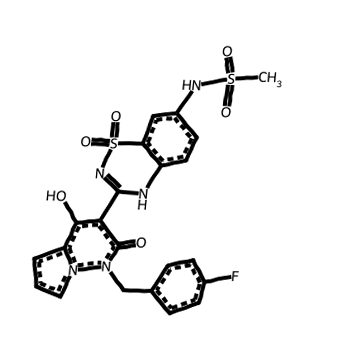 CS(=O)(=O)Nc1ccc2c(c1)S(=O)(=O)N=C(c1c(O)c3cccn3n(Cc3ccc(F)cc3)c1=O)N2